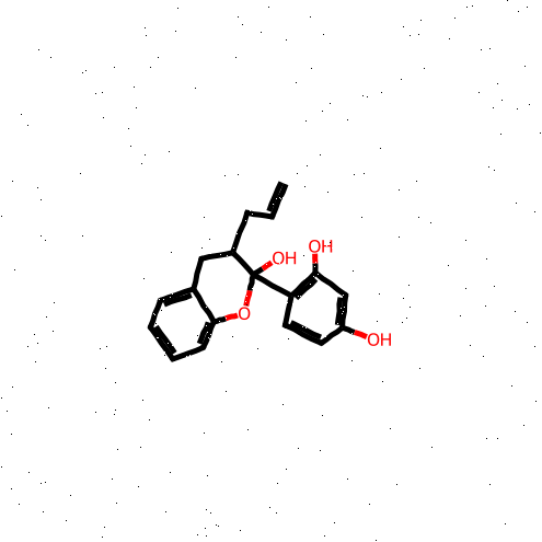 C=CCC1Cc2ccccc2OC1(O)c1ccc(O)cc1O